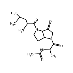 CC(=O)NC(C)C(=O)N1CC(=O)C2C1CCN2C(=O)C(N)CC(C)C